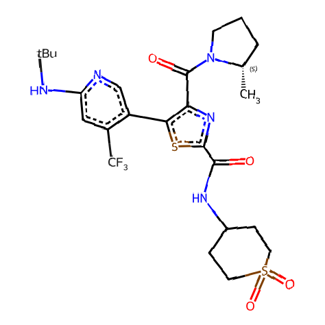 C[C@H]1CCCN1C(=O)c1nc(C(=O)NC2CCS(=O)(=O)CC2)sc1-c1cnc(NC(C)(C)C)cc1C(F)(F)F